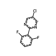 Fc1cccc(F)c1-c1n[c]c(Cl)cn1